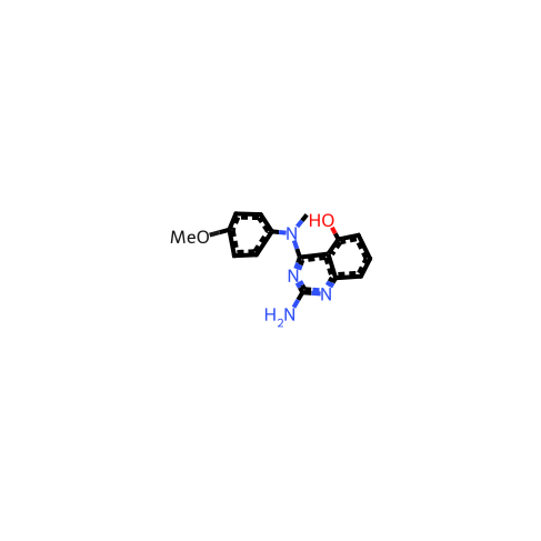 COc1ccc(N(C)c2nc(N)nc3cccc(O)c23)cc1